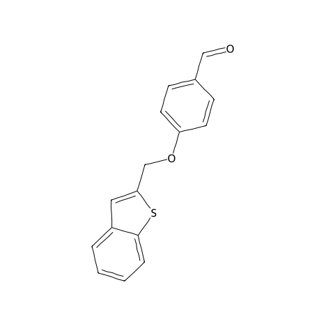 O=Cc1ccc(OCc2cc3ccccc3s2)cc1